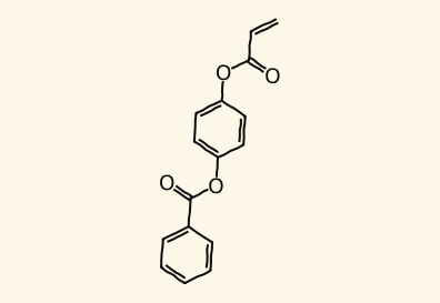 C=CC(=O)Oc1ccc(OC(=O)c2ccccc2)cc1